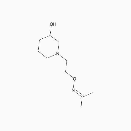 CC(C)=NOCCN1CCCC(O)C1